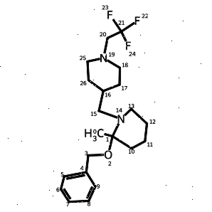 CC1(OCc2ccccc2)CCCCN1CC1CCN(CC(F)(F)F)CC1